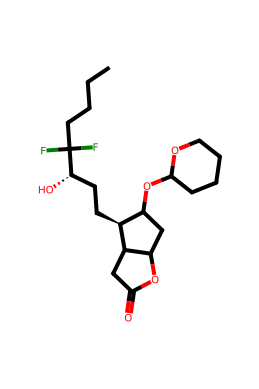 CCCCC(F)(F)[C@@H](O)CC[C@H]1C(OC2CCCCO2)CC2OC(=O)CC21